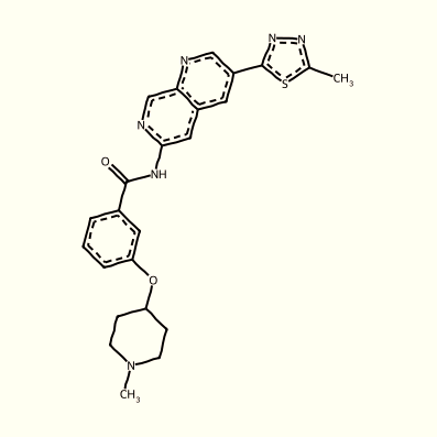 Cc1nnc(-c2cnc3cnc(NC(=O)c4cccc(OC5CCN(C)CC5)c4)cc3c2)s1